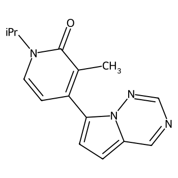 Cc1c(-c2ccc3cncnn23)ccn(C(C)C)c1=O